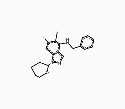 Cc1c(F)cc2c(cnn2C2CCCCO2)c1NCc1ccccc1